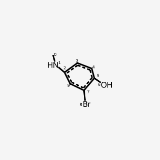 CNc1ccc(O)c(Br)c1